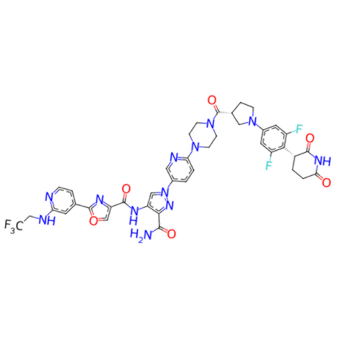 NC(=O)c1nn(-c2ccc(N3CCN(C(=O)[C@@H]4CCN(c5cc(F)c([C@H]6CCC(=O)NC6=O)c(F)c5)C4)CC3)nc2)cc1NC(=O)c1coc(-c2ccnc(NCC(F)(F)F)c2)n1